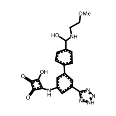 COCCNC(O)c1ccc(-c2cc(Nc3c(O)c(=O)c3=O)cc(-c3nn[nH]n3)c2)cc1